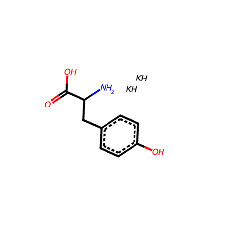 NC(Cc1ccc(O)cc1)C(=O)O.[KH].[KH]